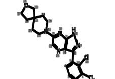 Clc1cccc(-c2n[nH]c3nc(N4CCC5(CCOC5)CC4)cnc23)c1Cl